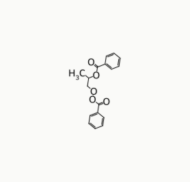 CC(COOC(=O)c1ccccc1)OC(=O)c1ccccc1